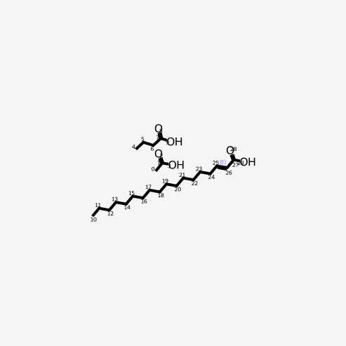 CC(=O)O.CCCC(=O)O.CCCCCCCCCCCCCCC/C=C/C(=O)O